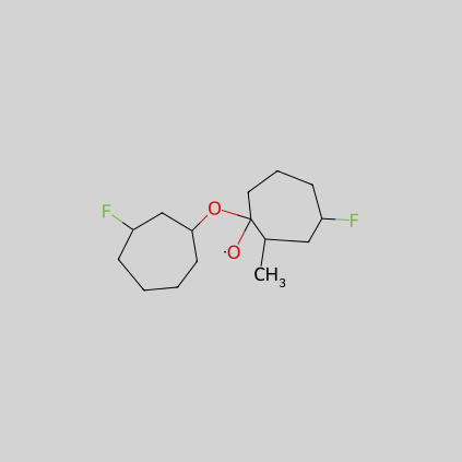 CC1CC(F)CCCC1([O])OC1CCCCC(F)C1